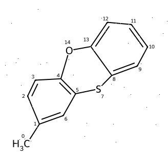 Cc1ccc2c(c1)Sc1ccccc1O2